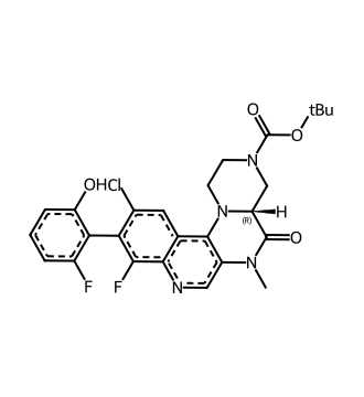 CN1C(=O)[C@H]2CN(C(=O)OC(C)(C)C)CCN2c2c1cnc1c(F)c(-c3c(O)cccc3F)c(Cl)cc21